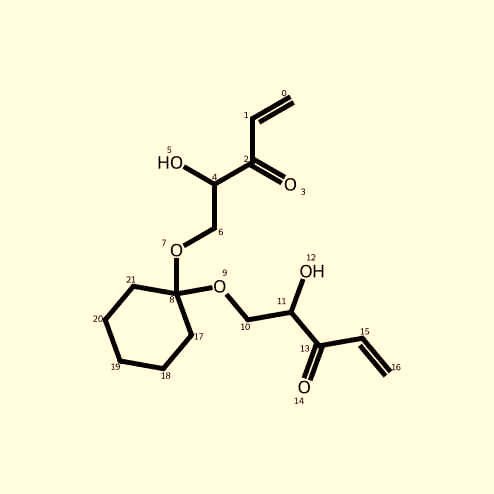 C=CC(=O)C(O)COC1(OCC(O)C(=O)C=C)CCCCC1